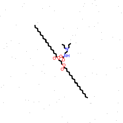 CCCCCCCCC=CCCCCCCCC(=O)OCC(COC(=O)CCCCCCCC=CCCCCCCCC)OC(=O)NCCN(CCC)CCC